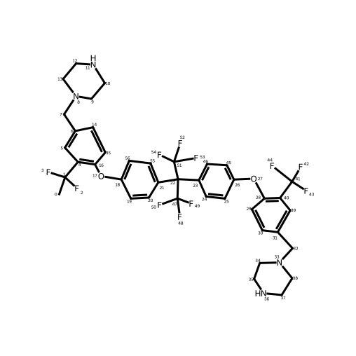 CC(F)(F)c1cc(CN2CCNCC2)ccc1Oc1ccc(C(c2ccc(Oc3ccc(CN4CCNCC4)cc3C(F)(F)F)cc2)(C(F)(F)F)C(F)(F)F)cc1